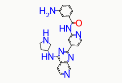 Nc1cccc(C(=O)Nc2cc(-c3nc(NC4CCNC4)c4ccncc4n3)ccn2)c1